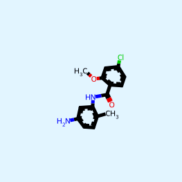 COc1cc(Cl)ccc1C(=O)Nc1cc(N)ccc1C